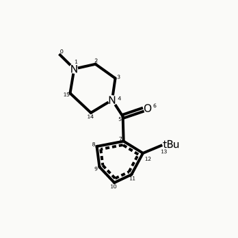 CN1CCN(C(=O)c2ccccc2C(C)(C)C)CC1